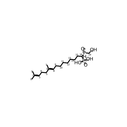 CC(C)=CCC/C(C)=C/CCCCCCCC([PH](=O)CO)P(=O)(O)O